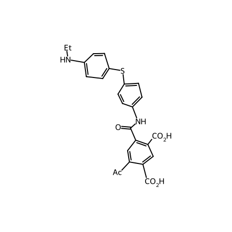 CCNc1ccc(Sc2ccc(NC(=O)c3cc(C(C)=O)c(C(=O)O)cc3C(=O)O)cc2)cc1